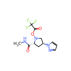 CNC(=O)[C@H]1C[C@H](n2cccn2)CN1OC(=O)C(F)(F)F